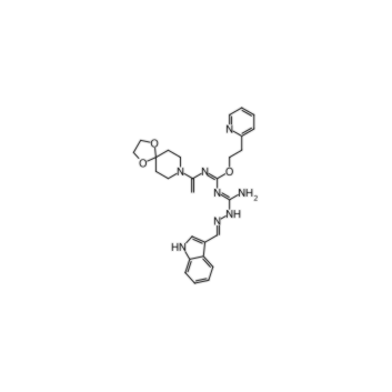 C=C(/N=C(\N=C(/N)N/N=C/c1c[nH]c2ccccc12)OCCc1ccccn1)N1CCC2(CC1)OCCO2